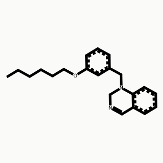 CCCCCCOc1cccc(CN2CN=Cc3ccccc32)c1